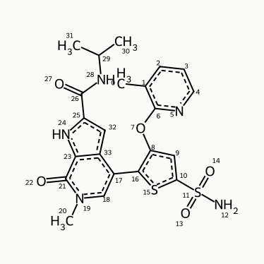 Cc1cccnc1Oc1cc(S(N)(=O)=O)sc1-c1cn(C)c(=O)c2[nH]c(C(=O)NC(C)C)cc12